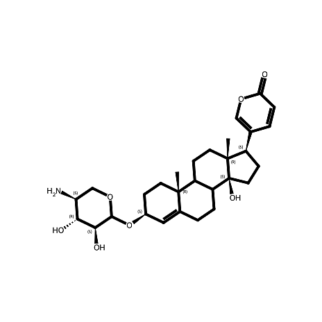 C[C@]12CC[C@H](OC3OC[C@H](N)[C@@H](O)[C@@H]3O)C=C1CCC1C2CC[C@]2(C)[C@@H](c3ccc(=O)oc3)CC[C@]12O